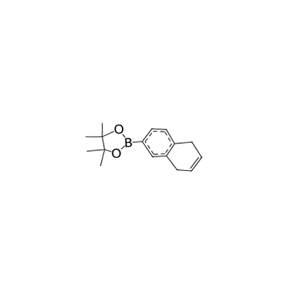 CC1(C)OB(c2ccc3c(c2)CC=CC3)OC1(C)C